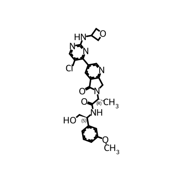 COc1cccc([C@@H](CO)NC(=O)[C@@H](C)N2Cc3ncc(-c4nc(NC5COC5)ncc4Cl)cc3C2=O)c1